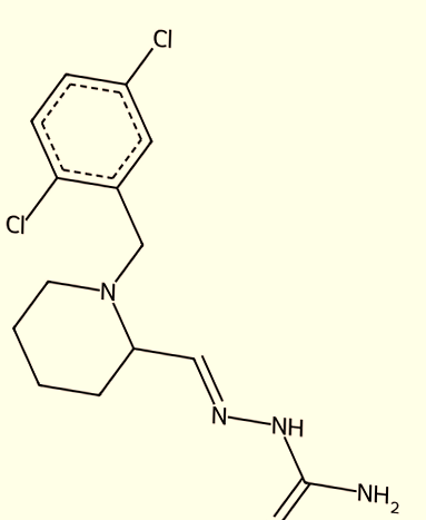 NC(=S)NN=CC1CCCCN1Cc1cc(Cl)ccc1Cl